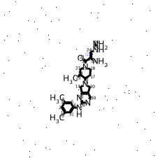 Cc1cc(C)cc(Nc2ncc3c(n2)CN(C2CCN(C(=O)/C(N)=C/NN)CC2C)C3)c1